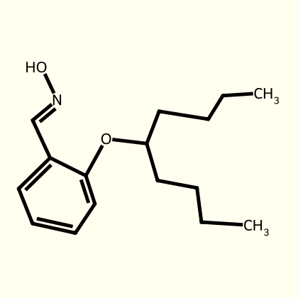 CCCCC(CCCC)Oc1ccccc1C=NO